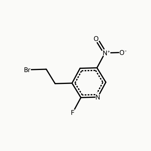 O=[N+]([O-])c1cnc(F)c(CCBr)c1